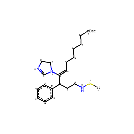 CCCCCCCCCCCCCCCC=C(C(CCNSCC)c1ccccc1)N1C=NCC1